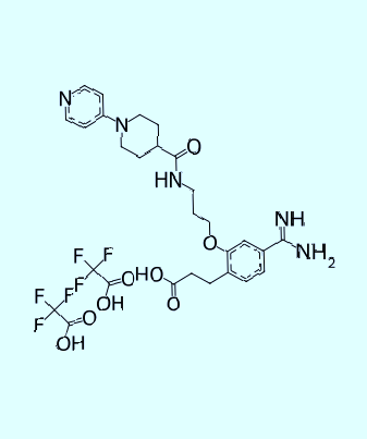 N=C(N)c1ccc(CCC(=O)O)c(OCCCNC(=O)C2CCN(c3ccncc3)CC2)c1.O=C(O)C(F)(F)F.O=C(O)C(F)(F)F